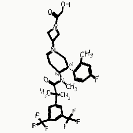 Cc1cc(F)ccc1[C@H]1CN(C2CN(C(=O)CO)C2)CC[C@@H]1N(C)C(=O)C(C)(C)c1cc(C(F)(F)F)cc(C(F)(F)F)c1